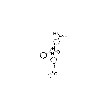 COC(=O)CCc1ccc(-n2c(-c3ccccc3)cn(-c3ccc(C(=N)N)cc3)c2=O)cc1